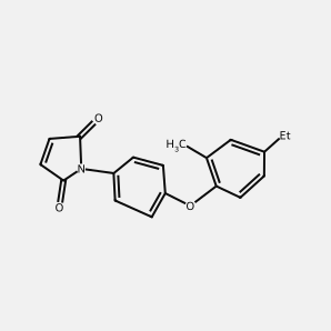 CCc1ccc(Oc2ccc(N3C(=O)C=CC3=O)cc2)c(C)c1